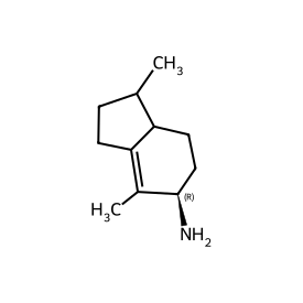 CC1=C2CCC(C)C2CC[C@H]1N